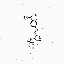 CCS(=O)(=O)N[C@H]1COC[C@@H]1COc1ccc(C(C)C)cc1